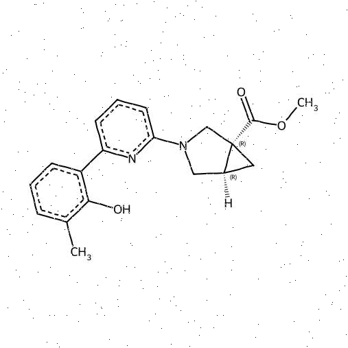 COC(=O)[C@]12C[C@H]1CN(c1cccc(-c3cccc(C)c3O)n1)C2